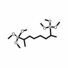 CO[Si](OC)(OC)C(C)CCCCC(C)[Si](OC)(OC)OC